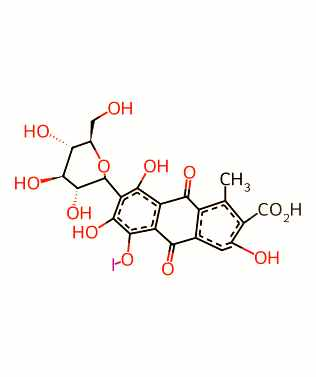 Cc1c(C(=O)O)c(O)cc2c1C(=O)c1c(O)c(C3O[C@H](CO)[C@@H](O)[C@H](O)[C@H]3O)c(O)c(OI)c1C2=O